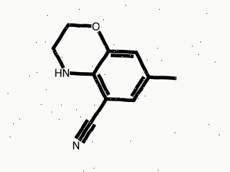 Cc1cc(C#N)c2c(c1)OCCN2